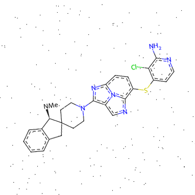 CN[C@@H]1c2ccccc2CC12CCN(c1nc3ccc(Sc4ccnc(N)c4Cl)c4ncc1n34)CC2